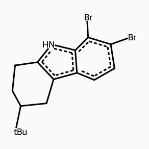 CC(C)(C)C1CCc2[nH]c3c(Br)c(Br)ccc3c2C1